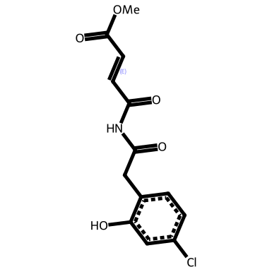 COC(=O)/C=C/C(=O)NC(=O)Cc1ccc(Cl)cc1O